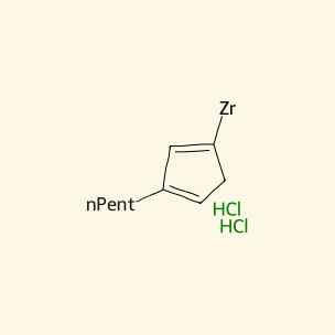 CCCCCC1=CC[C]([Zr])=C1.Cl.Cl